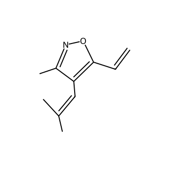 C=Cc1onc(C)c1C=C(C)C